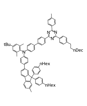 CCCCCCCCCCCCc1ccc(-c2nc(-c3ccc(C)cc3)nc(-c3ccc(-c4ccc(N(c5ccc(-c6ccc7c(c6)C(c6ccc(CCCCCC)cc6)(c6ccc(CCCCCC)cc6)c6cc(C)ccc6-7)cc5)c5c(C)cc(C(C)(C)C)cc5C)cc4)cc3)n2)cc1